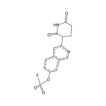 O=C1CCC(c2cc3ccc(OS(=O)(=O)F)cc3cn2)C(=O)N1